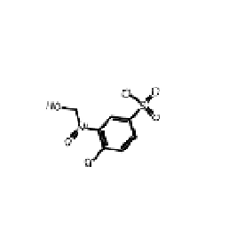 O=[N+](CO)c1cc(S(=O)(=O)Cl)ccc1Cl